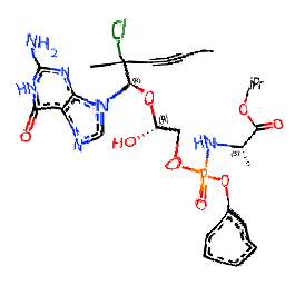 CC#CC(C)(Cl)[C@@H](O[C@@H](O)COP(=O)(N[C@@H](C)C(=O)OC(C)C)Oc1ccccc1)n1cnc2c(=O)[nH]c(N)nc21